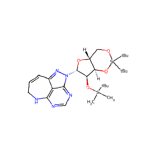 CC(C)(C)[Si](C)(C)O[C@@H]1[C@@H]2O[Si](C(C)(C)C)(C(C)(C)C)OC[C@H]2O[C@H]1n1nc2c3c(ncnc31)NCC=C2